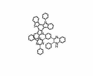 c1ccc(-c2nc(-c3ccccc3)nc(-c3cc(C4=Nc5ccccc5NC4c4ccccc4)ccc3-n3c4ccccc4c4c5sc6ccccc6c5c5c(c6ccccc6n5-c5ccccc5)c43)n2)cc1